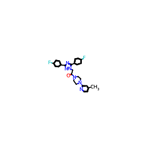 Cc1ccnc(N2CCN(C(=O)Cn3nc(-c4ccc(F)cc4)nc3-c3ccc(F)cc3)CC2)c1